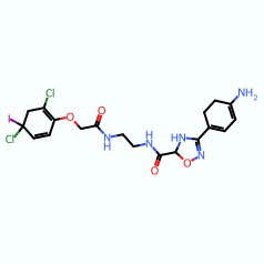 NC1=CC=C(C2=NOC(C(=O)NCCNC(=O)COC3=C(Cl)CC(Cl)(I)C=C3)N2)CC1